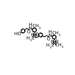 Cc1ccc(S(=O)(=O)N(C)C)cc1NC(=O)CCc1cccc(CN(C)S(=O)(=O)c2ccc(C)c(NC(=O)Cc3ccc(O)cc3)c2)c1